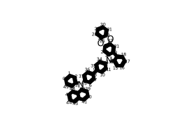 c1ccc(N(c2ccc(-c3ccc(-n4c5ccccc5c5cc6c(cc54)Oc4ccccc4O6)cc3)cc2)c2cccc3ccccc23)cc1